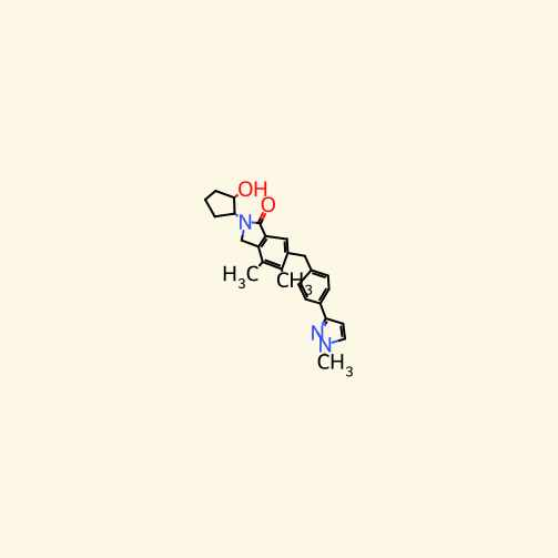 Cc1c(Cc2ccc(-c3ccn(C)n3)cc2)cc2c(c1C)CN([C@@H]1CCC[C@H]1O)C2=O